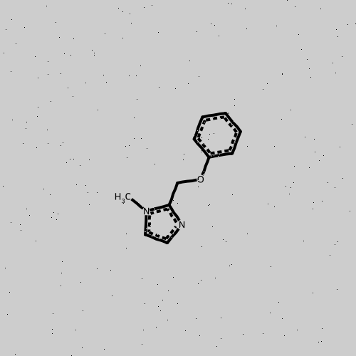 Cn1ccnc1COc1cc[c]cc1